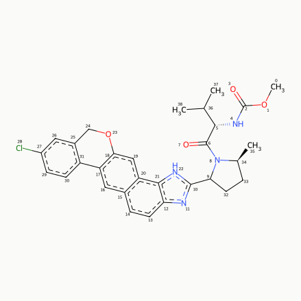 COC(=O)N[C@H](C(=O)N1C(c2nc3ccc4cc5c(cc4c3[nH]2)OCc2cc(Cl)ccc2-5)CC[C@@H]1C)C(C)C